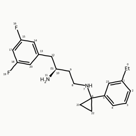 CCc1cccc(C2(NCC[C@@H](N)[CH]c3cc(F)cc(F)c3)CC2)c1